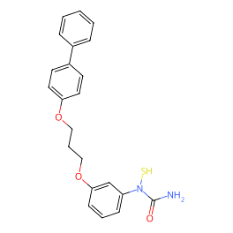 NC(=O)N(S)c1cccc(OCCCOc2ccc(-c3ccccc3)cc2)c1